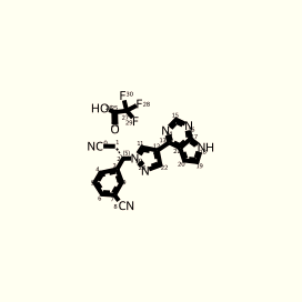 N#CC[C@@H](c1cccc(C#N)c1)n1cc(-c2ncnc3[nH]ccc23)cn1.O=C(O)C(F)(F)F